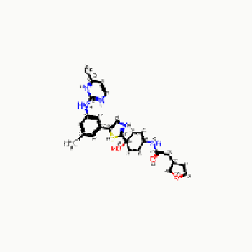 Cc1cc(Nc2nccc(C(F)(F)F)n2)cc(-c2cnc(C3(O)CCC(NC(=O)CC4CCOC4)CC3)s2)c1